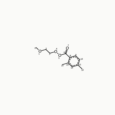 COC[CH]OOC(=O)c1ccc(C)cc1C